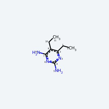 CCc1nc(N)nc(N)c1CC